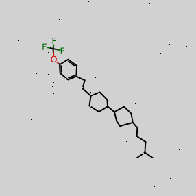 CC(C)CCCC1CCC(C2CCC(CCc3ccc(OC(F)(F)F)cc3)CC2)CC1